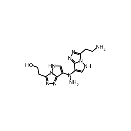 NCCc1nnc2c(N(N)c3c[nH]n4c(CCO)nnc34)c[nH]n12